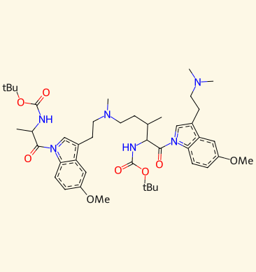 COc1ccc2c(c1)c(CCN(C)CCC(C)C(NC(=O)OC(C)(C)C)C(=O)n1cc(CCN(C)C)c3cc(OC)ccc31)cn2C(=O)C(C)NC(=O)OC(C)(C)C